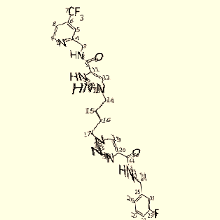 O=C(NCc1cc(C(F)(F)F)ccn1)C1=CN(CCCCn2cc(C(=O)NCc3cccc(F)c3)nn2)NN1